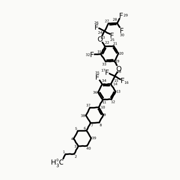 CCCC1CCC(C2CC=C(c3ccc(C(F)(F)Oc4ccc(OC(F)(F)C=C(F)F)c(F)c4)c(F)c3)CC2)CC1